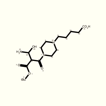 CC(C)(C)OC(=O)C(C(=O)N1CCN(CCCCC(=O)O)CC1)C(N)O